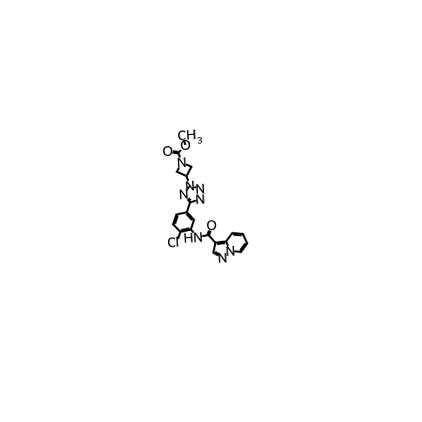 COC(=O)N1CC(n2nnc(-c3ccc(Cl)c(NC(=O)c4cnn5ccccc45)c3)n2)C1